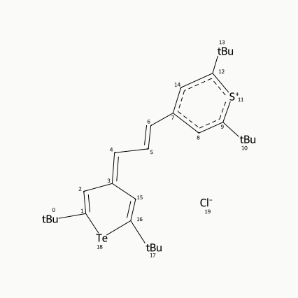 CC(C)(C)C1=CC(=CC=Cc2cc(C(C)(C)C)[s+]c(C(C)(C)C)c2)C=C(C(C)(C)C)[Te]1.[Cl-]